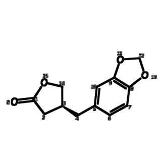 O=C1C[C@H](Cc2ccc3c(c2)OCO3)CO1